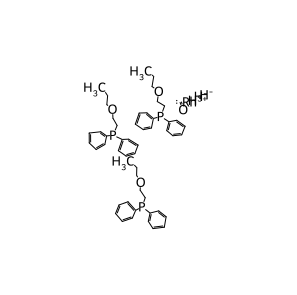 CCCOCCP(c1ccccc1)c1ccccc1.CCCOCCP(c1ccccc1)c1ccccc1.CCCOCCP(c1ccccc1)c1ccccc1.[C]=O.[H-].[H-].[H-].[Rh+3]